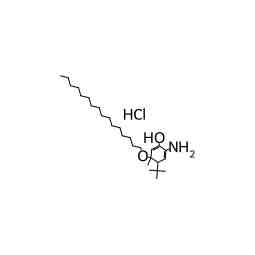 CCCCCCCCCCCCCCCCOC1(C)C=C(O)C(N)=CC1C(C)(C)C.Cl